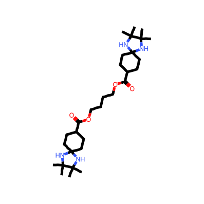 CC1(C)NC2(CCC(C(=O)OCCCCOC(=O)C3CCC4(CC3)NC(C)(C)C(C)(C)N4)CC2)NC1(C)C